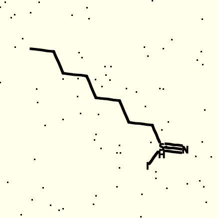 CCCCCCCC[SH](#N)I